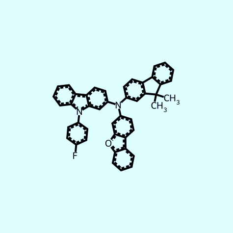 CC1(C)c2ccccc2-c2ccc(N(c3ccc4c(c3)oc3ccccc34)c3ccc4c5ccccc5n(-c5ccc(F)cc5)c4c3)cc21